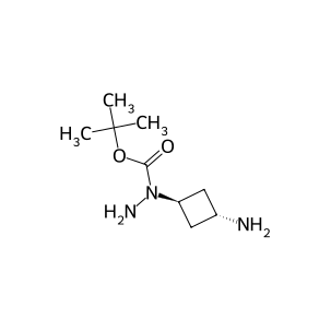 CC(C)(C)OC(=O)N(N)[C@H]1C[C@H](N)C1